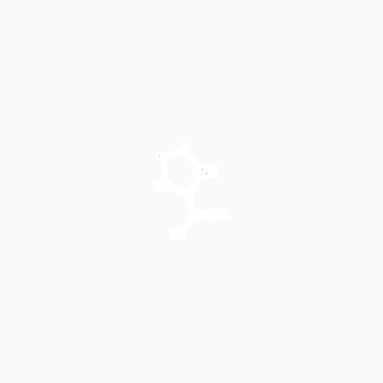 [O]C(=O)C1NCCO1